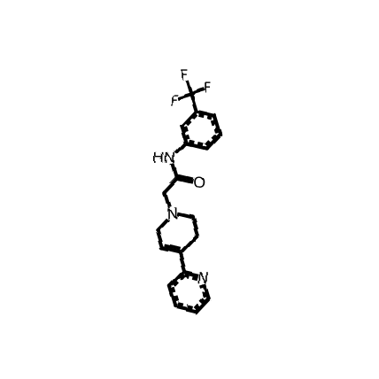 O=C(CN1CC=C(c2ccccn2)CC1)Nc1cccc(C(F)(F)F)c1